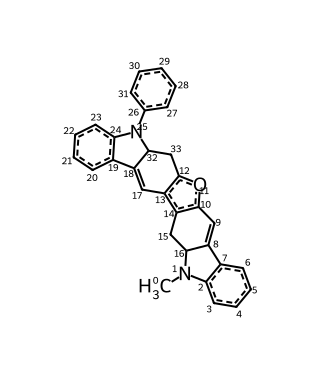 CN1c2ccccc2C2=Cc3oc4c(c3CC21)C=C1c2ccccc2N(c2ccccc2)C1C4